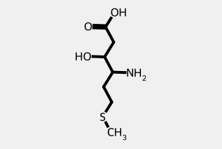 CSCCC(N)C(O)CC(=O)O